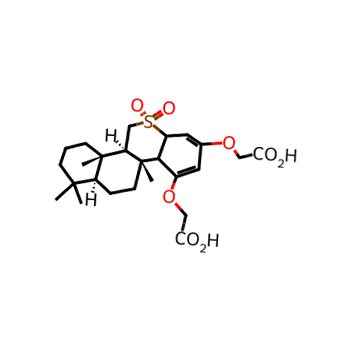 CC1(C)CCC[C@]2(C)[C@H]3CS(=O)(=O)C4C=C(OCC(=O)O)C=C(OCC(=O)O)C4[C@]3(C)CC[C@@H]12